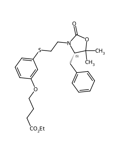 CCOC(=O)CCCOc1cccc(SCCN2C(=O)OC(C)(C)[C@@H]2Cc2ccccc2)c1